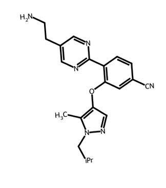 Cc1c(Oc2cc(C#N)ccc2-c2ncc(CCN)cn2)cnn1CC(C)C